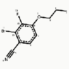 CCCOc1ccc(C#N)c(Br)c1F